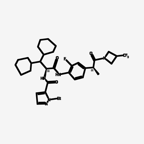 CCn1nccc1C(=O)N[C@H](C(=O)Nc1ccc([C@H](C)C(=O)N2CC(C(F)(F)F)C2)cc1F)C(C1CCCCC1)C1CCCCC1